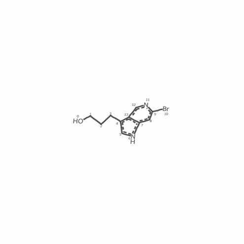 OCCCc1c[nH]c2cc(Br)ncc12